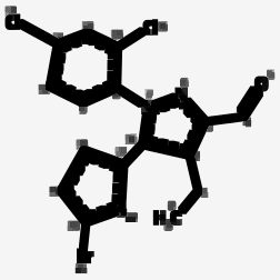 CCc1c(C=O)nn(-c2ccc(Cl)cc2Cl)c1-c1ccc(Br)s1